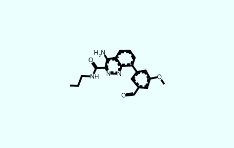 CCCNC(=O)c1nnc2c(-c3cc(C=O)cc(OC)c3)cccc2c1N